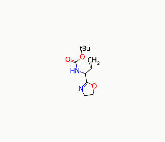 C=CC(NC(=O)OC(C)(C)C)C1=NCCO1